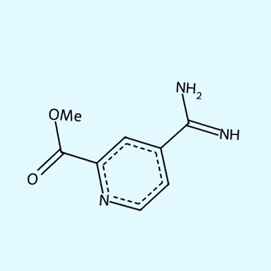 COC(=O)c1cc(C(=N)N)ccn1